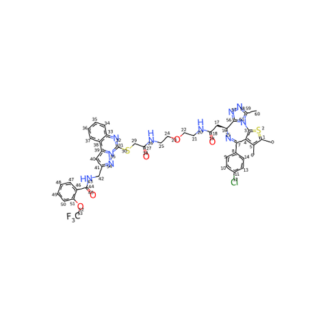 Cc1sc2c(c1C)C(c1ccc(Cl)cc1)=N[C@@H](CC(=O)NCCOCCNC(=O)CSc1nc3ccccc3c3cc(CNC(=O)c4ccccc4OC(F)(F)F)nn13)c1nnc(C)n1-2